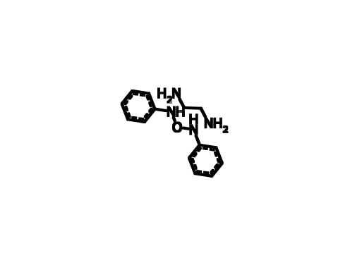 NCCN.c1ccc(NONc2ccccc2)cc1